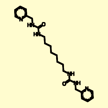 O=C(NCCCCCCCCNC(=O)NCc1ccccn1)NCc1ccccn1